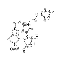 COc1ccccc1C1=C(c2cn(CCCn3cnnn3)c3ncccc23)C(=O)NC1=O